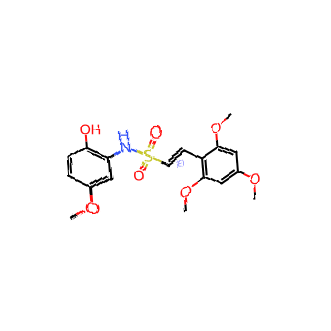 COc1ccc(O)c(NS(=O)(=O)/C=C/c2c(OC)cc(OC)cc2OC)c1